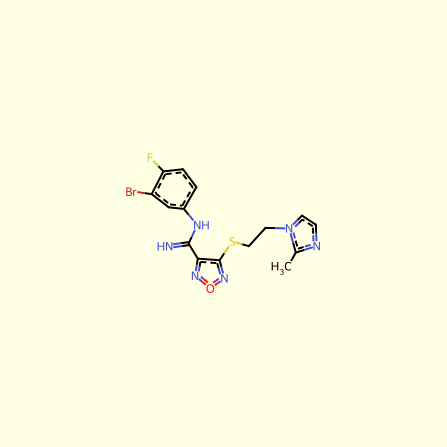 Cc1nccn1CCSc1nonc1C(=N)Nc1ccc(F)c(Br)c1